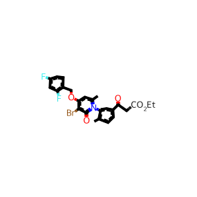 CCOC(=O)CC(=O)c1ccc(C)c(-n2c(C)cc(OCc3ccc(F)cc3F)c(Br)c2=O)c1